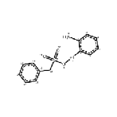 Nc1cccc[c]1[Pd][O]S(=O)(=O)Cc1ccccc1